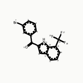 O=C(c1cccc(Br)c1)c1cc2cccc(C(F)(F)F)c2[nH]1